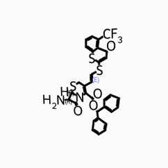 N[C@@H]1C(=O)N2C(C(=O)OC(c3ccccc3)c3ccccc3)=C(/C=C/Sc3cc(=O)c4c(C(F)(F)F)cccc4s3)CS[C@H]12